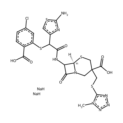 Cn1nnnc1SCC1(C(=O)O)CS[C@@H]2C(NC(=O)C(Sc3cc(Cl)ccc3C(=O)O)c3csc(N)n3)C(=O)N2C1.[NaH].[NaH]